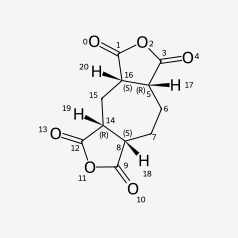 O=C1OC(=O)[C@@H]2CC[C@@H]3C(=O)OC(=O)[C@@H]3C[C@H]12